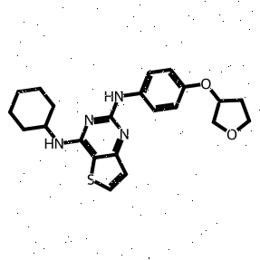 c1cc2nc(Nc3ccc(OC4CCOC4)cc3)nc(NC3CCCCC3)c2s1